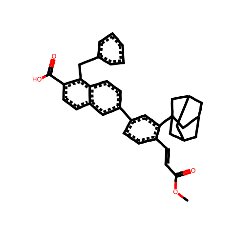 COC(=O)C=Cc1ccc(-c2ccc3c(Cc4ccccc4)c(C(=O)O)ccc3c2)cc1C12CC3CC(CC(C3)C1)C2